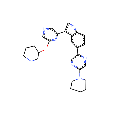 C[C@@H]1CCCN(c2cnc(-c3ccc4[nH]cc(-c5cncc(OC6CCCNC6)n5)c4c3)cn2)C1